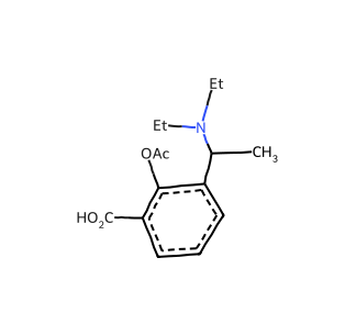 CCN(CC)C(C)c1cccc(C(=O)O)c1OC(C)=O